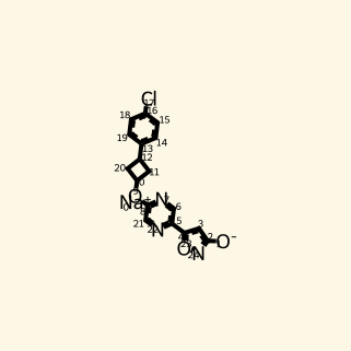 [Na+].[O-]c1cc(-c2cnc(OC3CC(c4ccc(Cl)cc4)C3)cn2)on1